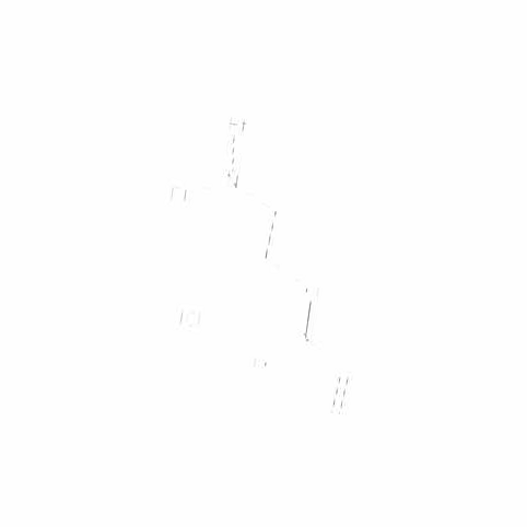 C=CC(=O)OCCN(CC)CC.Cl